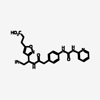 CC(C)CC(NC(=O)Cc1ccc(NC(=O)Nc2ccccn2)cc1)c1cc(CCC(=O)O)on1